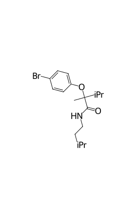 CC(C)CCNC(=O)C(C)(Oc1ccc(Br)cc1)C(C)C